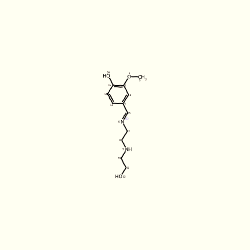 COc1cc(/C=N/CCNCCO)ccc1O